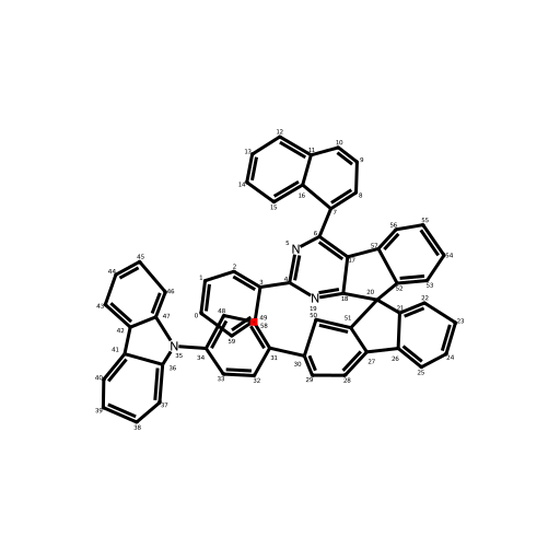 c1ccc(-c2nc(-c3cccc4ccccc34)c3c(n2)C2(c4ccccc4-c4ccc(-c5ccc(-n6c7ccccc7c7ccccc76)cc5)cc42)c2ccccc2-3)cc1